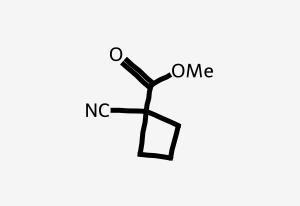 COC(=O)C1(C#N)CCC1